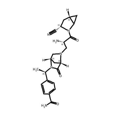 C[C@H](c1ccc(C(N)=O)cc1)N1C(=O)[C@@H]2C[C@H]1CN2C[C@H](N)C(=O)N1C2C[C@H]2C[C@H]1C#N